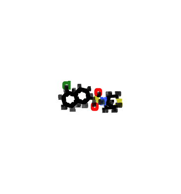 O=S(=O)(c1ccc2c(Cl)cccc2c1)N1CC2CC1CS2